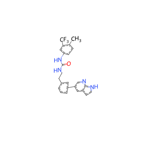 Cc1ccc(NC(=O)NCCc2cccc(-c3cnc4[nH]ccc4c3)c2)cc1C(F)(F)F